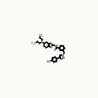 N#Cc1ccc(-c2cn(Cc3cccc(C(=O)Nc4nc5c(s4)CC(N(CCC(F)(F)F)CCC(F)(F)F)CC5)c3)nn2)cc1